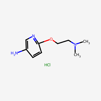 CN(C)CCOc1ccc(N)cn1.Cl